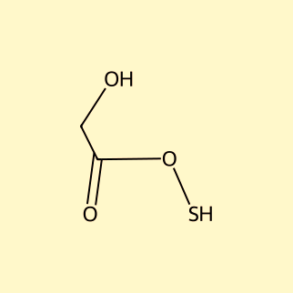 O=C(CO)OS